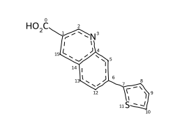 O=C(O)c1cnc2cc(-c3cccs3)ccc2c1